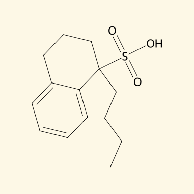 CCCCC1(S(=O)(=O)O)CCCc2ccccc21